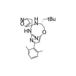 Cc1cccc(C)c1-c1cc2nc(n1)NC1(Cc3cc1on3)N[C@H](CC(C)(C)C)CO2